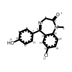 CN1C(=O)CN=C(c2ccc(O)cc2)c2cc(Cl)ccc21